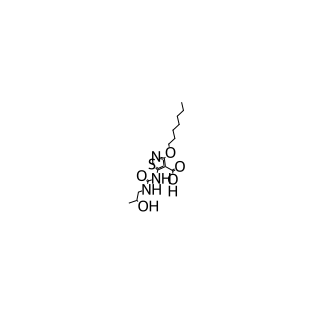 CCCCCCCOc1nsc(NC(=O)NCC(C)O)c1C(=O)O